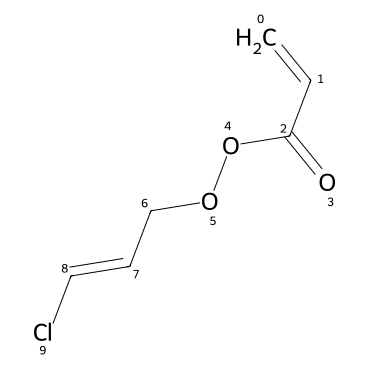 C=CC(=O)OOCC=CCl